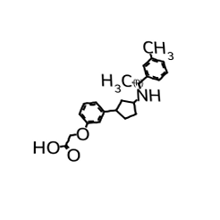 Cc1cccc([C@@H](C)NC2CCC(c3cccc(OCC(=O)O)c3)C2)c1